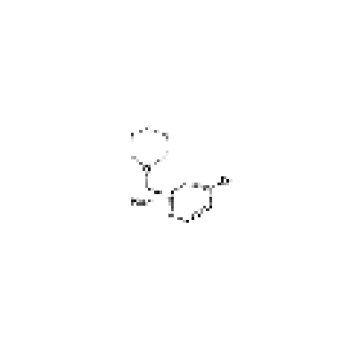 [Na+].[O-]c1cccc(CN2CCCCC2)c1